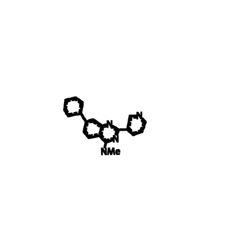 CNc1nc(-c2cccnc2)nc2cc(-c3ccccc3)ccc12